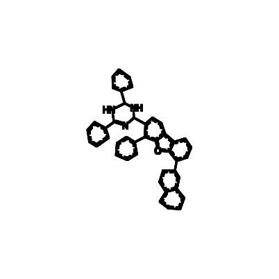 c1ccc(C2=NC(c3ccc4c(oc5c(-c6ccc7ccccc7c6)cccc54)c3-c3ccccc3)NC(c3ccccc3)N2)cc1